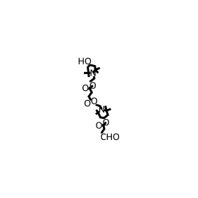 CC1(C)CC(O)CC(C)(C)N1CCOC(=O)CCC(=O)OCCN1C(C)(C)CC(OC(=O)CCC=O)CC1(C)C